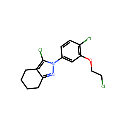 ClCCOc1cc(-n2nc3c(c2Cl)CCCC3)ccc1Cl